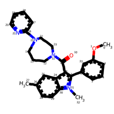 COc1cccc(-c2c(C(=O)N3CCCN(c4ccccn4)CC3)c3cc(C)ccc3n2C)c1